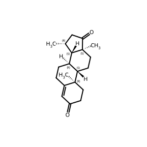 C[C@@H]1CC(=O)[C@@]2(C)CC[C@H]3[C@@H](CCC4=CC(=O)CC[C@@]43C)[C@H]12